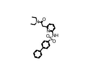 CCN(CC)C(=O)Cc1cccc(NS(=O)(=O)c2ccc(-c3ccccc3)cc2)n1